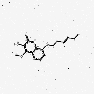 CCC=CCCOc1cccc2c(OC)c(O)c(=O)oc12